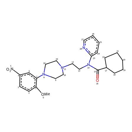 COc1ccc([N+](=O)[O-])cc1N1CCN(CCN(C(=O)C2CCCCC2)c2ccccn2)CC1